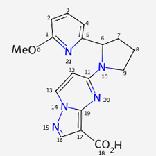 COc1cccc(C2CCCN2c2ccn3ncc(C(=O)O)c3n2)n1